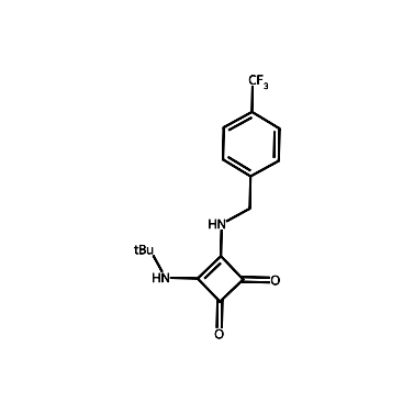 CC(C)(C)Nc1c(NCc2ccc(C(F)(F)F)cc2)c(=O)c1=O